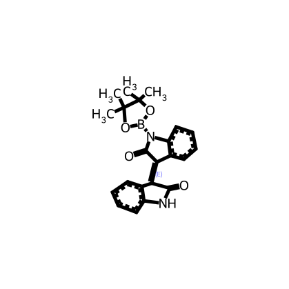 CC1(C)OB(N2C(=O)/C(=C3/C(=O)Nc4ccccc43)c3ccccc32)OC1(C)C